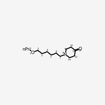 CCCOCCCCCCN1CCC(=O)CC1